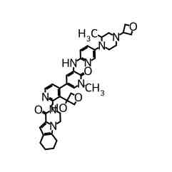 CC1CN(C2COC2)CCN1c1ccc(Nc2cc(-c3ccnc(N4CCn5c(cc6c5CCCC6)C4=O)c3C3(O)COC3)cn(C)c2=O)nc1